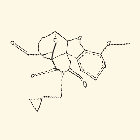 COc1cccc2c1OC1C3CCC4(C(=O)N(CC5CC5)C(=O)CC214)C(C=O)C3